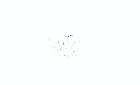 CCN(C)C(=O)C(S[C@@H]1O[C@H](COC(C)=O)[C@H](OC(C)=O)[C@H](N=[N+]=[N-])[C@H]1OC(C)=O)C1(O)CCOCC1